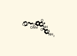 COc1c(OCCCN2CCOCC2)ccc2c(=O)n(C)c(NC(=O)c3ccc(N)nc3)cc12